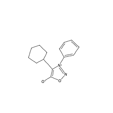 [O-]c1on[n+](-c2ccccc2)c1C1CCCCC1